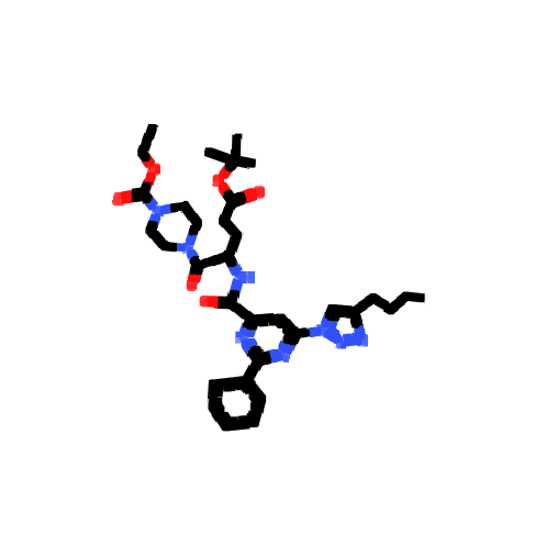 CCCCc1cn(-c2cc(C(=O)NC(CCC(=O)OC(C)(C)C)C(=O)N3CCN(C(=O)OCC)CC3)nc(-c3ccccc3)n2)nn1